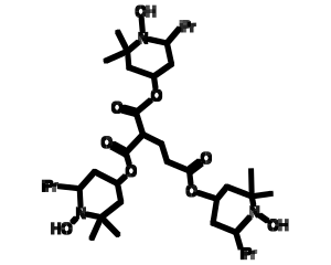 CC(C)C1CC(OC(=O)CCC(C(=O)OC2CC(C(C)C)N(O)C(C)(C)C2)C(=O)OC2CC(C(C)C)N(O)C(C)(C)C2)CC(C)(C)N1O